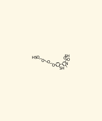 Cc1cc(-c2ccc(OCCOCCOCCOS)cc2S)cc(C(=O)OS)n1